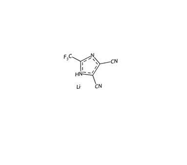 N#Cc1nc(C(F)(F)F)[nH]c1C#N.[Li]